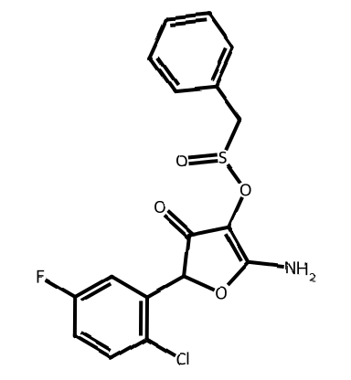 NC1=C(OS(=O)Cc2ccccc2)C(=O)C(c2cc(F)ccc2Cl)O1